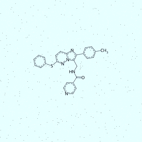 Cc1ccc(-c2nc3ccc(Sc4ccccc4)nn3c2CNC(=O)c2ccncc2)cc1